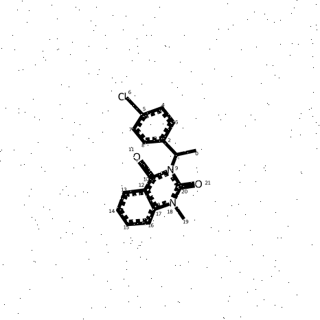 CC(c1ccc(Cl)cc1)n1c(=O)c2ccccc2n(C)c1=O